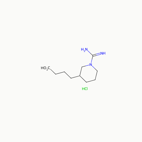 Cl.N=C(N)N1CCCC(CCCC(=O)O)C1